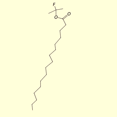 CCCCCCCCCCCCCCCC(=O)OC(C)(C)F